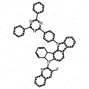 Fc1cc2ccccc2nc1N1c2ccc3c4ccccc4n(-c4ccc(-c5nc(-c6ccccc6)nc(-c6ccccc6)n5)cc4)c3c2C2C=CC=CC21